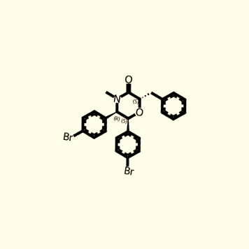 CN1C(=O)[C@H](Cc2ccccc2)O[C@@H](c2ccc(Br)cc2)[C@H]1c1ccc(Br)cc1